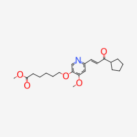 COC(=O)CCCCCOc1cnc(C=CC(=O)C2CCCC2)cc1OC